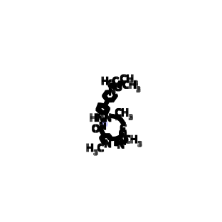 Cc1cc2cc(n1)-c1cnn(C)c1OCCC[C@@H](C)CN1/C(=N/C2=O)Nc2ccc(C3=CCN(C(=O)OC(C)(C)C)CC3)cc21